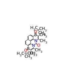 CC1=C(C)N2C(=O)N3C(C)=C(C)B(OC(C)(C)C)c4ccc5ccc(c2c5c43)B1OC(C)(C)C